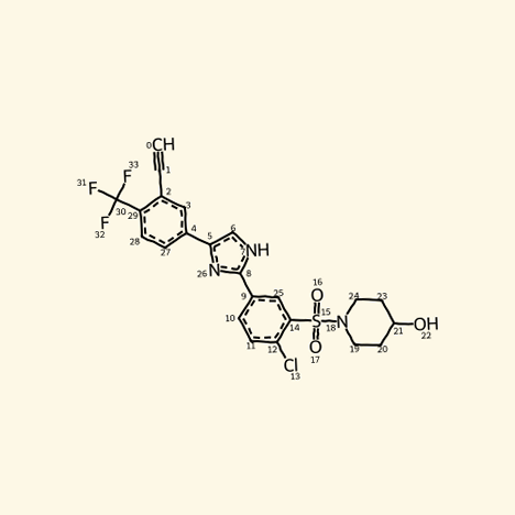 C#Cc1cc(-c2c[nH]c(-c3ccc(Cl)c(S(=O)(=O)N4CCC(O)CC4)c3)n2)ccc1C(F)(F)F